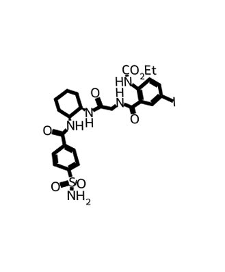 CCOC(=O)Nc1ccc(I)cc1C(=O)NCC(=O)N[C@@H]1CCCC[C@@H]1NC(=O)c1ccc(S(N)(=O)=O)cc1